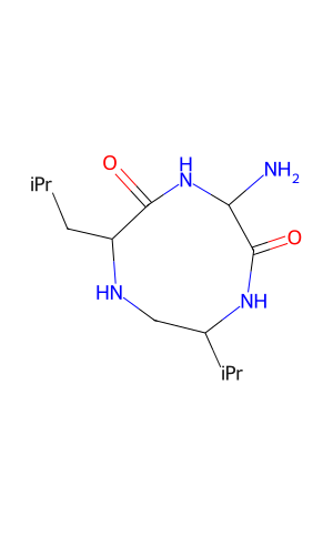 CC(C)CC1NCC(C(C)C)NC(=O)C(N)NC1=O